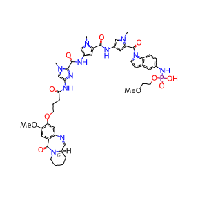 COCCOP(=O)(O)Nc1ccc2c(ccn2C(=O)c2cc(NC(=O)c3cc(NC(=O)c4nc(NC(=O)CCCOc5cc6c(cc5OC)C(=O)N5CCCC[C@H]5C=N6)cn4C)cn3C)cn2C)c1